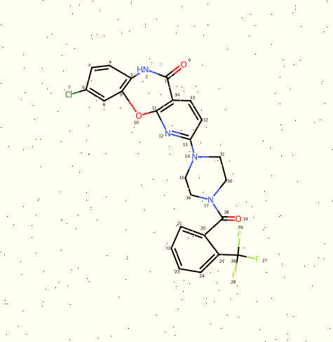 O=C1Nc2ccc(Cl)cc2Oc2nc(N3CCN(C(=O)c4ccccc4C(F)(F)F)CC3)ccc21